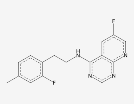 Cc1ccc(CCNc2ncnc3ncc(F)cc23)c(F)c1